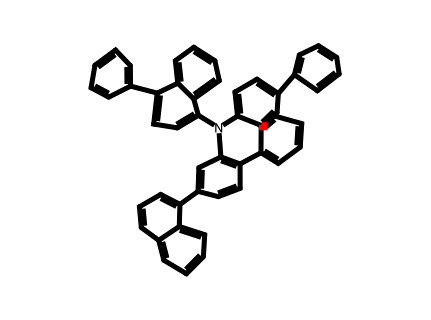 c1ccc(-c2ccc(N(c3cc(-c4cccc5ccccc45)ccc3-c3ccccc3)c3ccc(-c4ccccc4)c4ccccc34)cc2)cc1